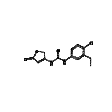 CCc1cc(NC(=O)NC2=CC(=O)OC2)ccc1Cl